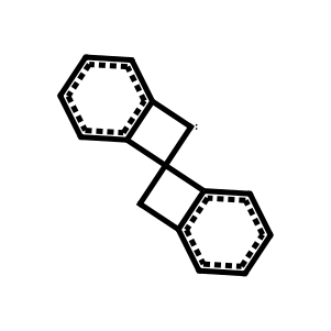 [C]1c2ccccc2C12Cc1ccccc12